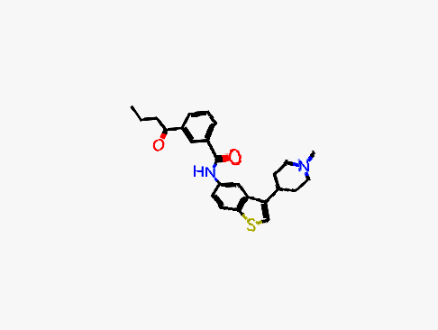 CCCC(=O)c1cccc(C(=O)Nc2ccc3scc(C4CCN(C)CC4)c3c2)c1